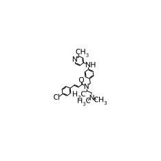 Cc1cc(Nc2ccc(CN(C(=O)C=Cc3ccc(Cl)cc3)C(C)CN(C)C)cc2)ccn1